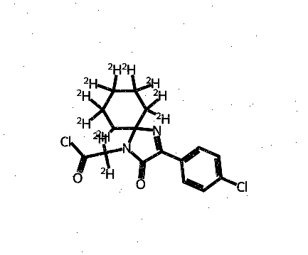 [2H]C1C([2H])([2H])C([2H])([2H])C([2H])([2H])C([2H])([2H])C12N=C(c1ccc(Cl)cc1)C(=O)N2C([2H])([2H])C(=O)Cl